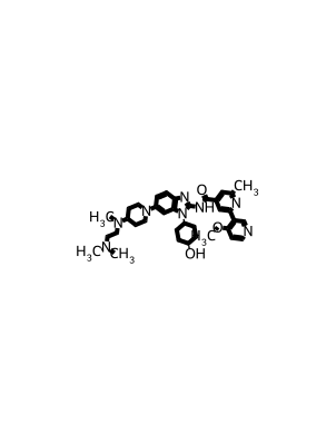 COc1ccncc1-c1cc(C(=O)Nc2nc3ccc(N4CCC(N(C)CCN(C)C)CC4)cc3n2[C@H]2CC[C@@H](O)CC2)cc(C)n1